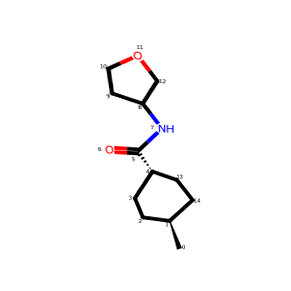 C[C@H]1CC[C@H](C(=O)NC2CCOC2)CC1